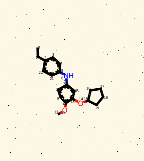 CCc1ccc(Nc2ccc(OC)c(OC3CCCC3)c2)cc1